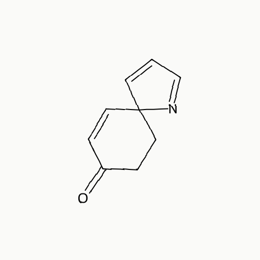 O=C1C=CC2(C=CC=N2)CC1